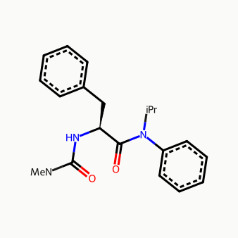 CNC(=O)N[C@@H](Cc1ccccc1)C(=O)N(c1ccccc1)C(C)C